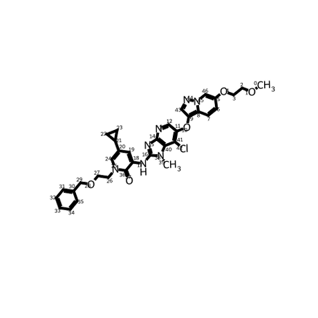 COCCOc1ccc2c(Oc3cnc4nc(Nc5cc(C6CC6)cn(CCOCc6ccccc6)c5=O)n(C)c4c3Cl)cnn2c1